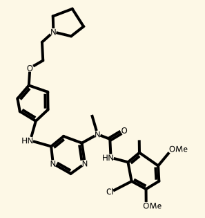 COc1cc(OC)c(Cl)c(NC(=O)N(C)c2cc(Nc3ccc(OCCN4CCCC4)cc3)ncn2)c1C